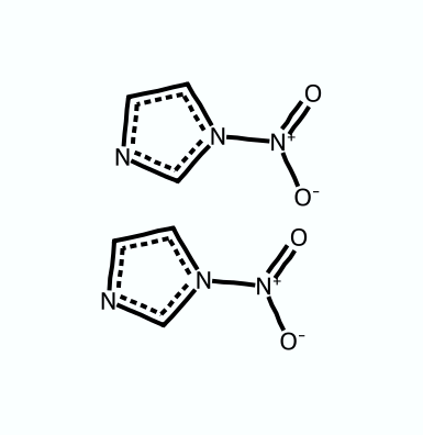 O=[N+]([O-])n1ccnc1.O=[N+]([O-])n1ccnc1